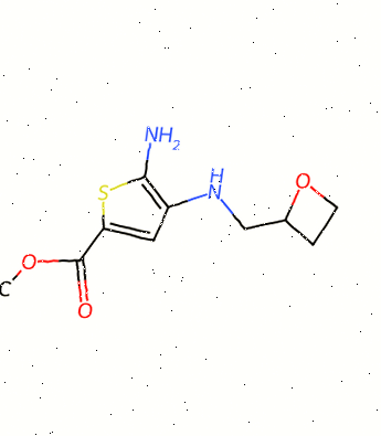 COC(=O)c1cc(NCC2CCO2)c(N)s1